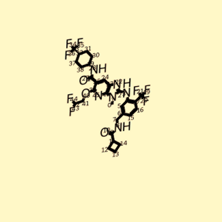 Cn1c(Nc2cc(CNC(=O)C3CCC3)ccc2C(F)(F)F)nc2cc(C(=O)N[C@H]3CC[C@H](C(F)(F)F)CC3)c(OCC(F)F)nc21